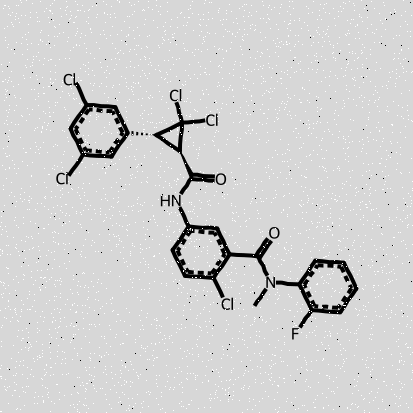 CN(C(=O)c1cc(NC(=O)[C@H]2[C@H](c3cc(Cl)cc(Cl)c3)C2(Cl)Cl)ccc1Cl)c1ccccc1F